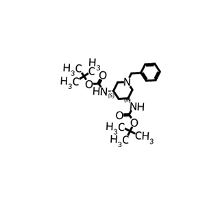 CC(C)(C)OC(=O)N[C@@H]1C[C@H](NC(=O)OC(C)(C)C)CN(Cc2ccccc2)C1